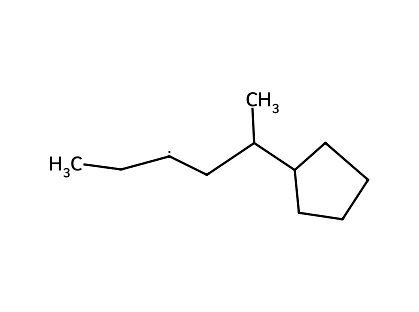 CC[CH]CC(C)C1CCCC1